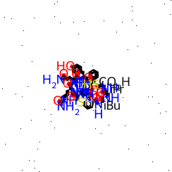 CC[C@H](C)[C@H](NC(=O)[C@@H]1CCCCN1C(=O)[C@@H]1CCCN1C(=O)[C@H](Cc1ccccc1)NC(=O)[C@H](Cc1ccc(O)cc1)NC(=O)[C@H](CCC(N)=O)NC(=O)[C@H](CCCNC(N)=O)NC(=O)[C@@H](N)CS)C(=O)N[C@@H](CC(C)C)C(=O)N[C@@H](CS)C(=O)O